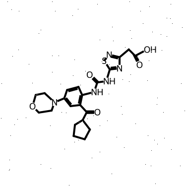 O=C(O)Cc1nsc(NC(=O)Nc2ccc(N3CCOCC3)cc2C(=O)C2CCCC2)n1